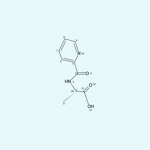 C[C@H](NC(=O)c1ccccn1)C(=O)O